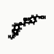 C#CCN1CCN(C[C@H](O)COc2ccc3sc(C)nc3c2)CC1